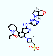 C=CC(=O)N1CCCCC[C@H]1c1ccc(N2C[C@H](CS(C)(=O)=O)[C@H]2C)c2cnc(Nc3ccnc(N4CC[C@H]5COC[C@H]54)n3)cc12